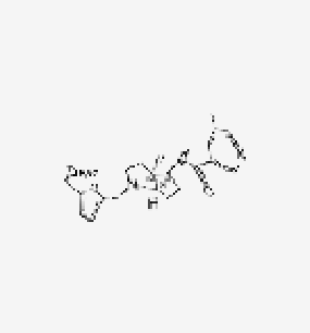 COCc1ccc(CN2CC[C@H]3[C@@H](NC(=O)c4cncc(C)c4)CC[C@H]32)o1